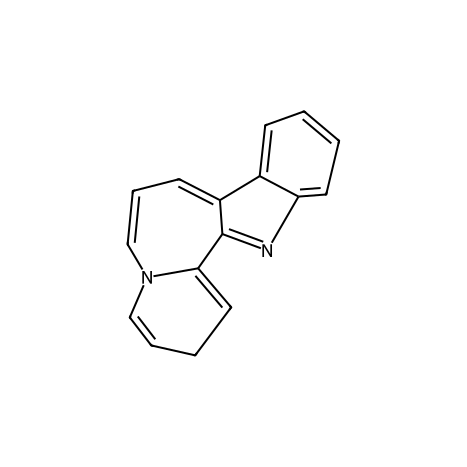 C1=CN2C=CCC=C2C2=Nc3ccccc3C2=C1